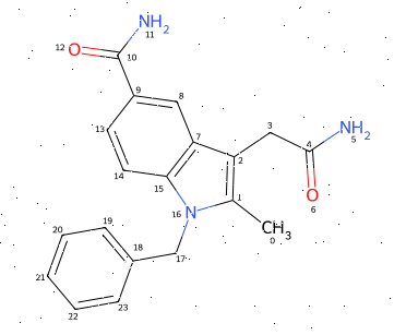 Cc1c(CC(N)=O)c2cc(C(N)=O)ccc2n1Cc1ccccc1